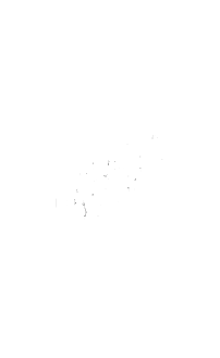 CC[C@@]1(C(=O)O)CCC[C@@]2(C)C1CCC1CC(C(C)C)CC[C@@H]12